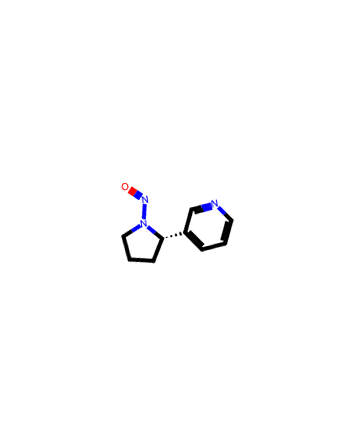 O=NN1CCC[C@H]1c1cccnc1